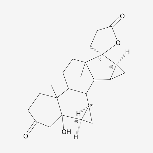 CC12CCC(=O)CC1(O)[C@@H]1C[C@@H]1C1C2CCC2(C)C1C1C[C@@H]1[C@@]21CCC(=O)O1